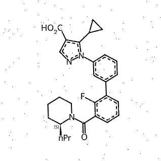 CCC[C@H]1CCCCN1C(=O)c1cccc(-c2cccc(-n3ncc(C(=O)O)c3C3CC3)c2)c1F